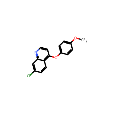 FC(F)(F)Oc1ccc(Oc2ccnc3cc(Cl)ccc23)cc1